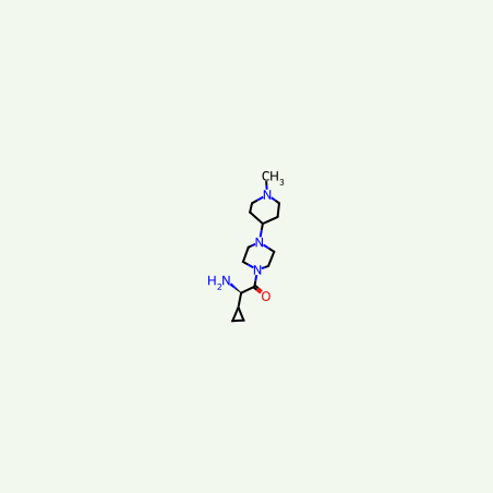 CN1CCC(N2CCN(C(=O)[C@H](N)C3CC3)CC2)CC1